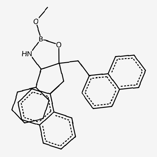 COB1NC(C2CCCCC2)C(Cc2cccc3ccccc23)(Cc2cccc3ccccc23)O1